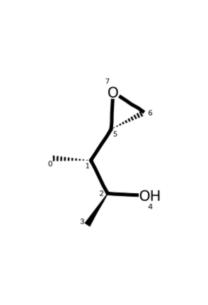 C[C@@H]([C@H](C)O)[C@H]1CO1